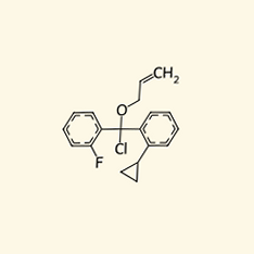 C=CCOC(Cl)(c1ccccc1F)c1ccccc1C1CC1